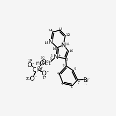 CCCCCCCC[n+]1c(-c2cccc(Br)c2)cn2cccnc21.[O-][Cl+3]([O-])([O-])[O-]